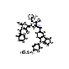 CCCCCCCCCCSc1ccc(N2c3ccc(/C=c4\s/c(=C5/SC(=S)N(Cc6ccccc6)C5=O)n(CC(=O)O)c4=O)cc3C3CCCC32)cc1